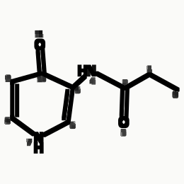 CCC(=O)Nc1c[nH]ccc1=O